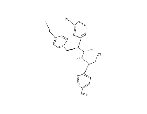 CSc1ccc(C(CC#N)N[C@@H](C)[C@@H](Cc2ccc(CI)cc2)c2cccc(C#N)c2)cc1